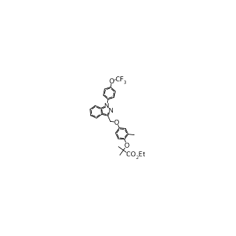 CCOC(=O)C(C)(C)Oc1ccc(OCc2nn(-c3ccc(OC(F)(F)F)cc3)c3ccccc23)cc1C